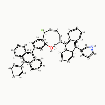 FC1/C=C\C=C(\C2=C3CC=CC=CC3=C(c3cccnc3)C3C=CC=CC23)COc2cc(-c3c4ccccc4c(C4=CCCC=C4)c4ccccc34)ccc21